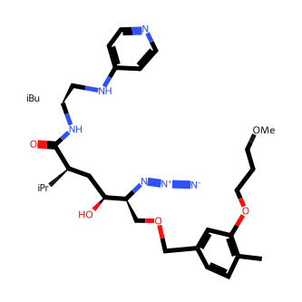 CC[C@H](C)[C@@H](CNc1ccncc1)NC(=O)[C@@H](C[C@H](O)[C@H](COCc1ccc(C)c(OCCCOC)c1)N=[N+]=[N-])C(C)C